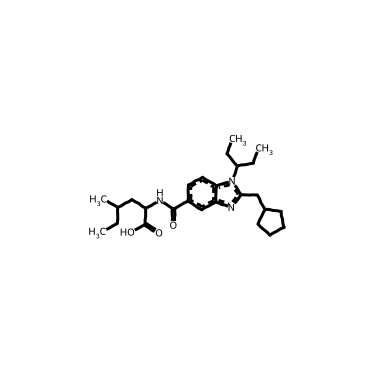 CCC(C)CC(NC(=O)c1ccc2c(c1)nc(CC1CCCC1)n2C(CC)CC)C(=O)O